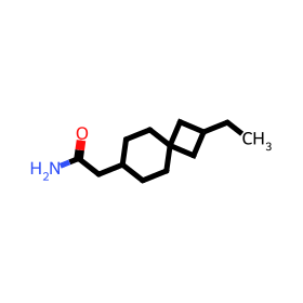 CCC1CC2(CCC(CC(N)=O)CC2)C1